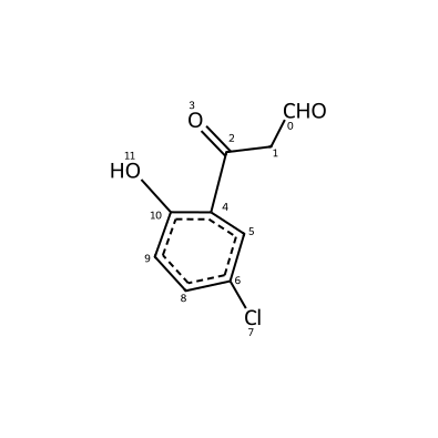 O=CCC(=O)c1cc(Cl)ccc1O